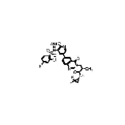 COc1ncc(-c2ccc3ncn(C[C@@H](C)C(=O)N[C@H]4CC4(F)F)c(=O)c3c2)cc1NS(=O)(=O)c1ccc(F)cc1Cl